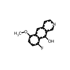 COc1ccc(F)c2c(O)c3cnccc3cc12